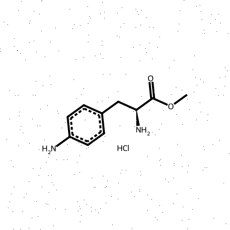 COC(=O)[C@@H](N)Cc1ccc(N)cc1.Cl